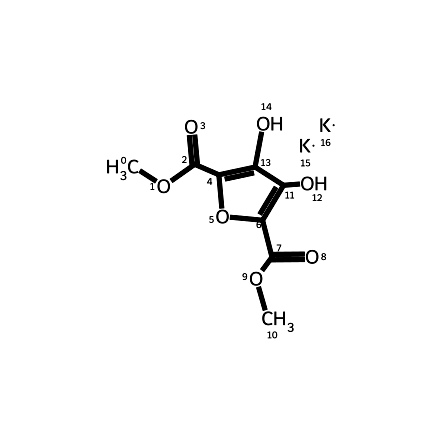 COC(=O)c1oc(C(=O)OC)c(O)c1O.[K].[K]